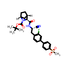 CC(C)(C)OC(=O)N1[C@@H]2CC[C@@H](C2)[C@H]1C(=O)N[C@H](C#N)Cc1ccc(-c2ccc(S(C)(=O)=O)cc2)cc1F